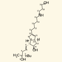 CCCC[C@@](C)(O)C/C=C/[C@@H]1[C@H]2CC(CCCCCNCCCO)=C[C@H]2C[C@H]1O